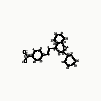 O=[N+]([O-])c1ccc(/C=C/c2cc(-c3ccccc3)[o+]c3ccccc23)cc1